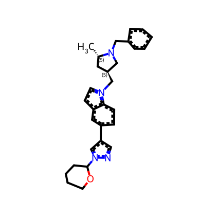 C[C@H]1C[C@H](Cn2ccc3cc(-c4cnn(C5CCCCO5)c4)ccc32)CN1Cc1ccccc1